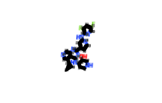 O[C@@H]1CNCC[C@H]1Nc1nc(-c2ccnc(Nc3ncc(F)cc3F)c2)nc2cncc(C3CC3)c12